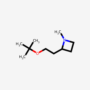 CN1CCC1CCOC(C)(C)C